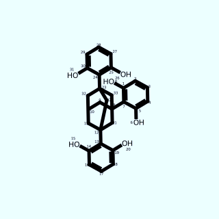 Oc1cccc(O)c1C12CC3CC(c4c(O)cccc4O)(C1)CC(c1c(O)cccc1O)(C3)C2